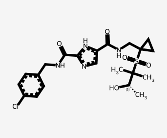 C[C@H](O)C(C)(C)S(=O)(=O)C1(CNC(=O)c2cnc(C(=O)NCc3ccc(Cl)cc3)[nH]2)CC1